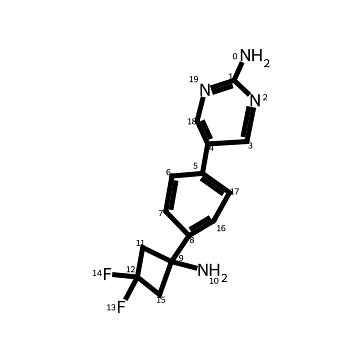 Nc1ncc(-c2ccc(C3(N)CC(F)(F)C3)cc2)cn1